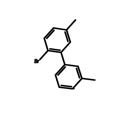 Cc1[c]ccc(-c2cc(C)ccc2Br)c1